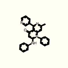 Cc1cc2c(c(-c3cccnc3)n1)c(=O)cc(Nc1ccccc1)n2-c1ccccc1